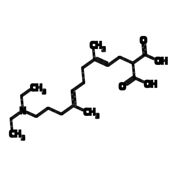 CCN(CC)CCCC(C)=CCCC(C)=CCC(C(=O)O)C(=O)O